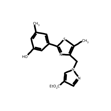 CCOC(=O)c1cnn(Cc2nc(-c3cc(C)cc(O)c3)sc2C)c1